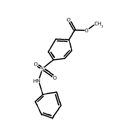 COC(=O)c1ccc(S(=O)(=O)Nc2cc[c]cc2)cc1